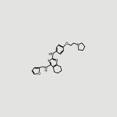 c1coc(CNc2nc(Nc3ccc(OCCN4CCCC4)cc3)nc3c2CCCC3)c1